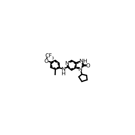 Cc1cc(OC(F)(F)F)ccc1Nc1cc2c(cn1)[nH]c(=O)n2C1CCCC1